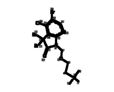 C[Si](C)(C)CCOCN1C(=O)C(Br)(Br)c2c1ncc(Br)c2Cl